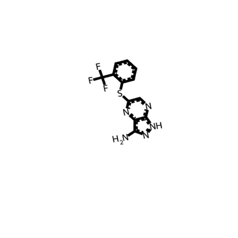 Nc1n[nH]c2ncc(Sc3ccccc3C(F)(F)F)nc12